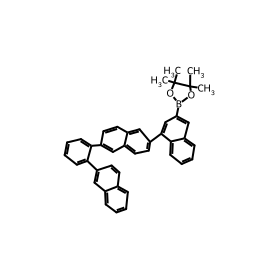 CC1(C)OB(c2cc(-c3ccc4cc(-c5ccccc5-c5ccc6ccccc6c5)ccc4c3)c3ccccc3c2)OC1(C)C